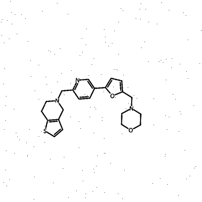 c1cc2c(s1)CCN(Cc1ccc(-c3ccc(CN4CCOCC4)o3)cn1)C2